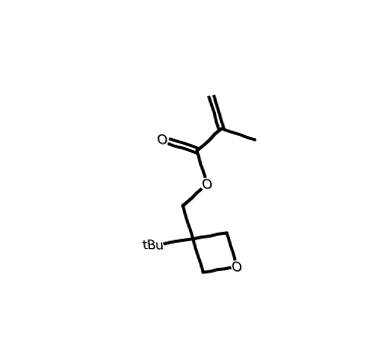 C=C(C)C(=O)OCC1(C(C)(C)C)COC1